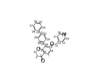 O=C1CCOc2c1ccc(OCc1ccncc1)c2-c1ccc(-c2ccccc2)cc1